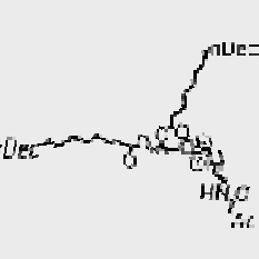 CCCCCCCCCCCCCCCCCC(=O)OC[C@H](COP(=O)(O)OCCNC(=O)CC(C)=O)OC(=O)CCCCCCCCCCCCCCCCC